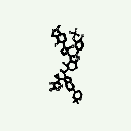 C[C@H]1c2c(nn(-c3ccc(F)c(OC(F)(F)F)c3)c2-n2ccn(-c3ccc4c(cnn4C)c3F)c2=O)CCN1C(=O)c1cn2cc([C@H]3CCOC(C)(C)C3)ccc2c1C1(c2noc(=O)[nH]2)CC1